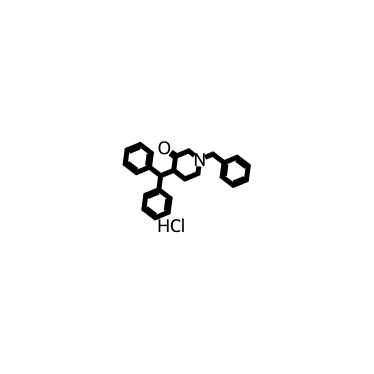 Cl.O=C1CN(Cc2ccccc2)CCC1C(c1ccccc1)c1ccccc1